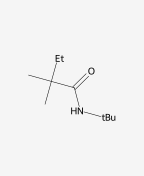 CCC(C)(C)C(=O)NC(C)(C)C